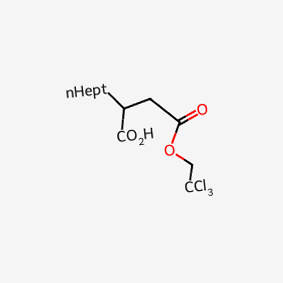 CCCCCCCC(CC(=O)OCC(Cl)(Cl)Cl)C(=O)O